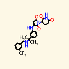 CC(C)(NCc1cccc(C(F)(F)F)c1)c1cccc(NC2=CC(=O)N(C3CCC(=O)NC3=O)C2=O)c1